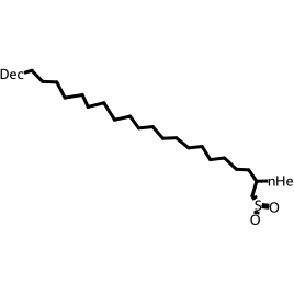 CCCCCCCCCCCCCCCCCCCCCCCCCCCCCC(C=S(=O)=O)CCCCCC